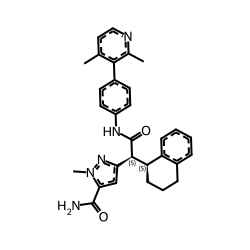 Cc1ccnc(C)c1-c1ccc(NC(=O)[C@H](c2cc(C(N)=O)n(C)n2)[C@@H]2CCCc3ccccc32)cc1